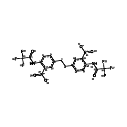 O=C(Nc1ccc(CCc2ccc(NC(=O)C(F)(F)F)c([N+](=O)[O-])c2)cc1[N+](=O)[O-])C(F)(F)F